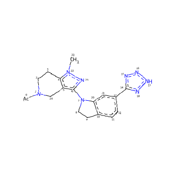 CC(=O)N1CCc2c(c(N3CCc4ccc(-c5nn[nH]n5)cc43)nn2C)C1